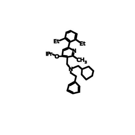 CCc1cccc(CC)c1-c1cc(OC(C)C)c(CN(CCc2ccccc2)CC2CCCCC2)c(C)n1